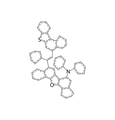 C(=C(/c1ccccc1)c1cc2c(oc3c4ccccc4cc(N(c4ccccc4)c4ccccc4)c23)c2ccccc12)/c1cc2sc3ccccc3c2c2ccccc12